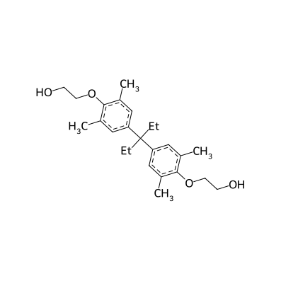 CCC(CC)(c1cc(C)c(OCCO)c(C)c1)c1cc(C)c(OCCO)c(C)c1